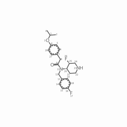 CC(C)Oc1ccc(CC(=O)N(Cc2ccc(F)cc2)[C@@H]2CCNC[C@@H]2F)cc1